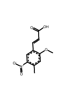 COc1cc(C)c([N+](=O)[O-])cc1C=CC(=O)O